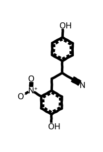 N#CC(Cc1ccc(O)cc1[N+](=O)[O-])c1ccc(O)cc1